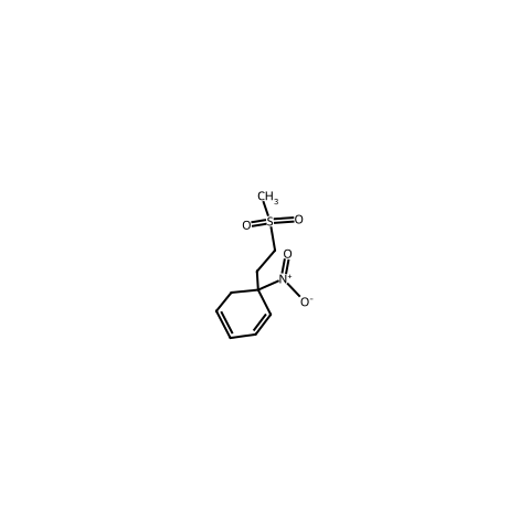 CS(=O)(=O)CCC1([N+](=O)[O-])C=CC=CC1